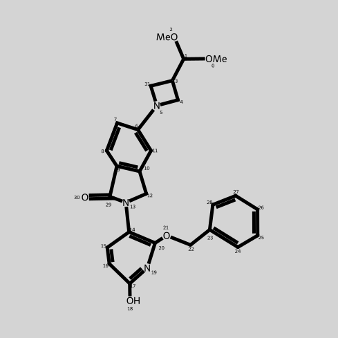 COC(OC)C1CN(c2ccc3c(c2)CN(c2ccc(O)nc2OCc2ccccc2)C3=O)C1